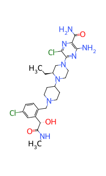 CC[C@H]1CN(c2nc(N)c(C(N)=O)nc2Cl)CCN1C1CCN(Cc2ccc(Cl)cc2[C@H](O)C(=O)NC)CC1